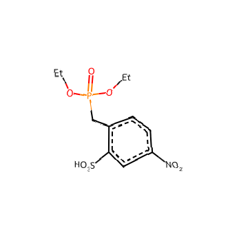 CCOP(=O)(Cc1ccc([N+](=O)[O-])cc1S(=O)(=O)O)OCC